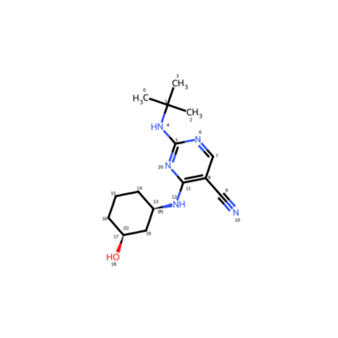 CC(C)(C)Nc1ncc(C#N)c(N[C@@H]2CCC[C@H](O)C2)n1